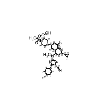 CN(c1nc(-c2ccc(F)cc2)c(C#N)s1)c1cc(C2CC2)nc2c(F)cc(N3CCN(S(C)(=O)=O)C(CO)C3)cc12